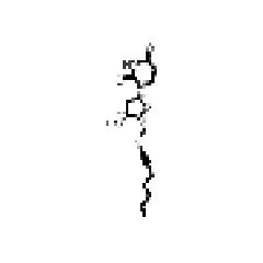 CCCCCC#COC[C@H]1O[C@@H](n2ccc(=O)[nH]c2=O)C[C@@H]1O